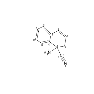 N#[N+]C1(N)CC=Cc2ccccc21